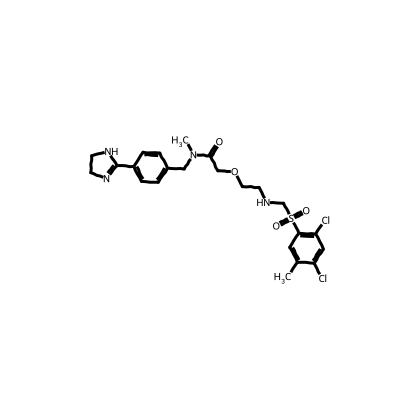 Cc1cc(S(=O)(=O)CNCCOCC(=O)N(C)Cc2ccc(C3=NCCN3)cc2)c(Cl)cc1Cl